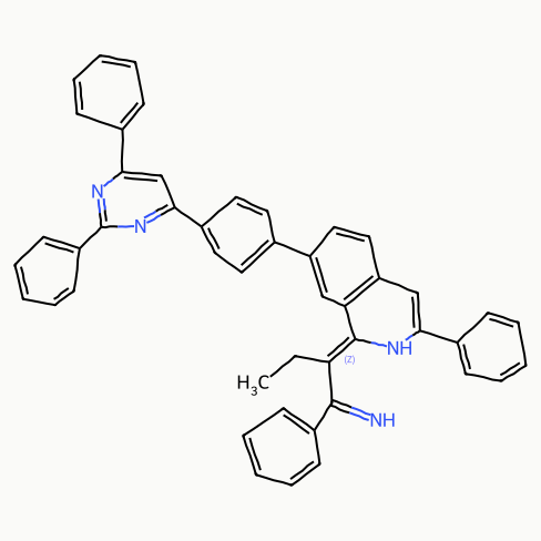 CC/C(C(=N)c1ccccc1)=C1/NC(c2ccccc2)=Cc2ccc(-c3ccc(-c4cc(-c5ccccc5)nc(-c5ccccc5)n4)cc3)cc21